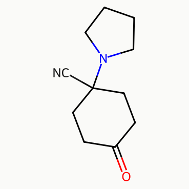 N#CC1(N2CCCC2)CCC(=O)CC1